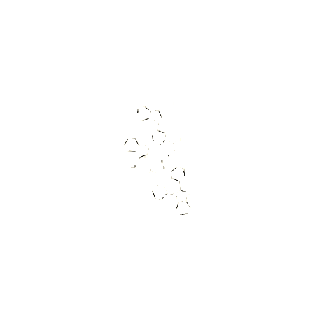 CCC(C)(C)CC(c1cccc(-c2nc3ccccc3n2C2=CC=CCC2)c1)C(C)C(C)(C)CC(c1cc(-n2cc(C(C)(C)C)c3ccccc32)cc(-n2cc(C(C)(C)C)c3ccccc32)c1)C(C)C